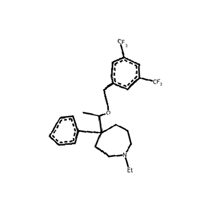 CCN1CCCC(c2ccccc2)(C(C)OCc2cc(C(F)(F)F)cc(C(F)(F)F)c2)CC1